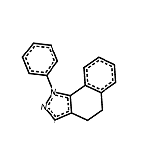 [c]1nn(-c2ccccc2)c2c1CCc1ccccc1-2